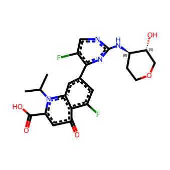 CC(C)n1c(C(=O)O)cc(=O)c2c(F)cc(-c3nc(N[C@@H]4CCOC[C@H]4O)ncc3F)cc21